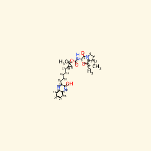 CC[C@@H]1CCN(C(=O)CNC(=O)OC2(C)C[C@H]2CCCCCc2nc3ccccc3nc2O)[C@@H]1C(C)=O